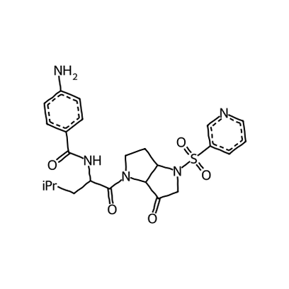 CC(C)CC(NC(=O)c1ccc(N)cc1)C(=O)N1CCC2C1C(=O)CN2S(=O)(=O)c1cccnc1